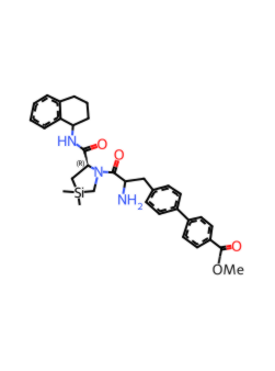 COC(=O)c1ccc(-c2ccc(CC(N)C(=O)N3C[Si](C)(C)C[C@H]3C(=O)NC3CCCc4ccccc43)cc2)cc1